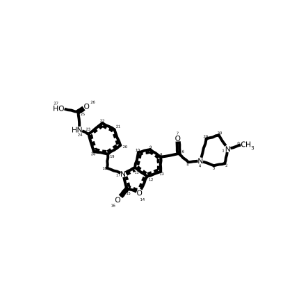 CN1CCN(CC(=O)c2ccc3c(c2)oc(=O)n3Cc2cccc(NC(=O)O)c2)CC1